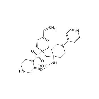 C=CC1=CCC(CC2(NC(=O)OCC)CCN(c3ccncc3)CC2)(S(=O)(=O)N2CCNCC2=O)C=C1